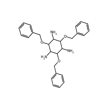 NC1C(OCc2ccccc2)C(N)C(OCc2ccccc2)C(N)C1OCc1ccccc1